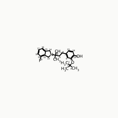 CC(C)(C)Oc1cc(CCC(C)(C)N2Cc3cccc(F)c3C2)ccc1O